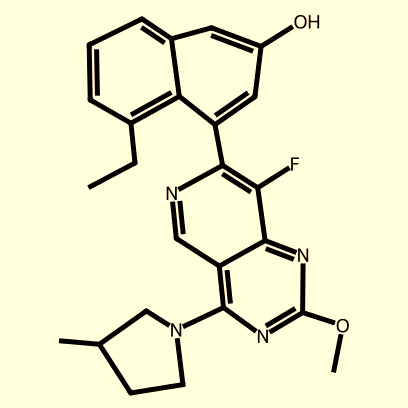 CCc1cccc2cc(O)cc(-c3ncc4c(N5CCC(C)C5)nc(OC)nc4c3F)c12